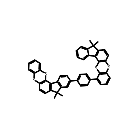 CC1(C)c2cc(-c3ccc(-c4cccc5c4Sc4c(ccc6c4-c4ccccc4C6(C)C)S5)cc3)ccc2-c2c1ccc1c2Sc2ccccc2S1